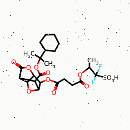 CC(OC(=O)CCC(=O)OC1C2OC(=O)C3C2OC1C3C(=O)OC(C)(C)C1CCCCC1)C(F)(F)S(=O)(=O)O